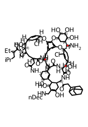 CCCCCCCCCCNCC1=C(O)CC2C(C3=C[C@H](CC[C@H]3O)[C@H]3CC(=O)[C@@H]4NC(=O)[C@H](CC(N)=O)CC(=O)[C@H](NC(=O)[C@H](CC)CC(C)C)[C@H](O)[C@H]5C=C[C@@H](Oc6cc4cc(c6O[C@@H]4C[C@H](CN)[C@@H](O)[C@H](O)[C@H]4O)O[C@@H]4CC[C@@H](C=C4Cl)[C@@H](O)[C@H](NC3=O)C(=O)N[C@@H]2C(=O)CC2C3CC4CC(C3)CC2C4)[C@H](Cl)C5)[C@H]1O